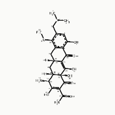 CN(C)Cc1cc(O)c2c(c1OC(F)(F)F)C[C@H]1C[C@H]3[C@H](N)C(O)=C(C(N)=O)C(=O)[C@@]3(O)C(O)=C1C2=O